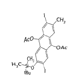 CC(=O)Oc1c2cc(C)c(I)cc2c(OC(C)=O)c2cc(O[Si](C)(C)C(C)(C)C)c(I)cc12